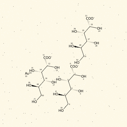 O=C([O-])[C@H](O)[C@@H](O)[C@H](O)[C@H](O)CO.O=C([O-])[C@H](O)[C@@H](O)[C@H](O)[C@H](O)CO.O=C([O-])[C@H](O)[C@@H](O)[C@H](O)[C@H](O)CO.[Au+3]